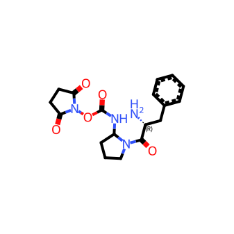 N[C@H](Cc1ccccc1)C(=O)N1CCCC1NC(=O)ON1C(=O)CCC1=O